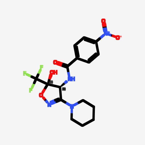 O=C(N[C@@H]1C(N2CCCCC2)=NO[C@]1(O)C(F)(F)F)c1ccc([N+](=O)[O-])cc1